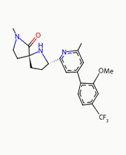 COc1cc(C(F)(F)F)ccc1-c1cc(C)nc([C@@H]2CC[C@]3(CCN(C)C3=O)N2)c1